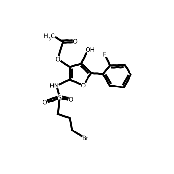 CC(=O)Oc1c(NS(=O)(=O)CCCBr)oc(-c2ccccc2F)c1O